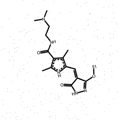 CCOC1=NNC(=O)C1=Cc1[nH]c(C)c(C(=O)NCCN(C)C)c1C